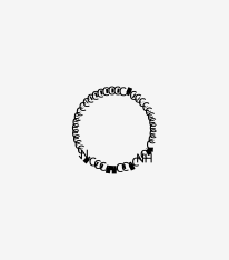 CC1CCCCCCCCCCCCCCCCCN(C)C(C)CCCC(C)C(C)CCC(C)CNCC(C)(C)CCCCCCCCCCC1